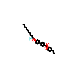 CCCCCCCCCCC(F)COc1ccc(-c2ccc(C(=O)OC3CCC(CCC)CC3)cc2)cc1